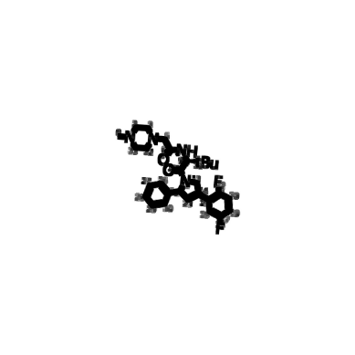 CN1CCN(CC(=O)N[C@H](C(=O)N2CC(c3cc(F)ccc3F)=CC2c2ccccc2)C(C)(C)C)CC1